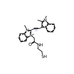 Cc1c(/C=C/c2n(C)c3ccccc3[n+]2CC(=O)NCCS)c2ccccc2n1C